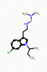 CCC(C)n1cc(CCNSN(C)C)c2ccc(Br)cc21